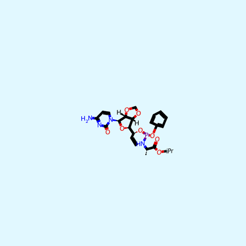 C=C[C@@H](OP(N[C@@H](C)C(=O)OC(C)C)Oc1ccccc1)[C@H]1O[C@@H](n2ccc(N)nc2=O)[C@@H]2OCO[C@@H]21